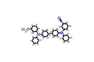 Cc1cccc(N(c2ccccc2)c2ccc(-c3ccc(N(c4ccccc4)c4cccc(C#N)c4)cc3)cc2)c1